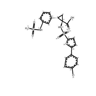 CS(=O)(=O)Nc1cccc([C@@H]2C[C@]2(NS(=O)(=O)c2ccc(-c3ccc(Cl)cc3)s2)C(=O)O)c1